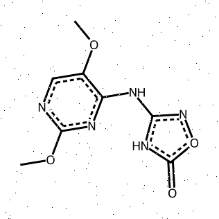 COc1ncc(OC)c(Nc2noc(=O)[nH]2)n1